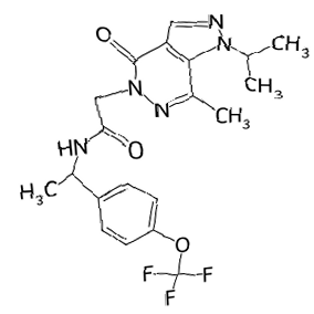 Cc1nn(CC(=O)NC(C)c2ccc(OC(F)(F)F)cc2)c(=O)c2cnn(C(C)C)c12